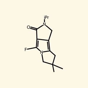 CC(C)N1Cc2c(c(F)n3c2CC(C)(C)C3)C1=O